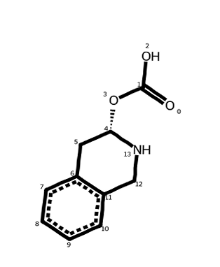 O=C(O)O[C@H]1Cc2ccccc2CN1